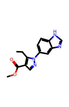 CCc1c(C(=O)OC)cnn1-c1ccc2[nH]cnc2c1